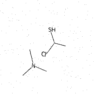 CC(S)Cl.CN(C)C